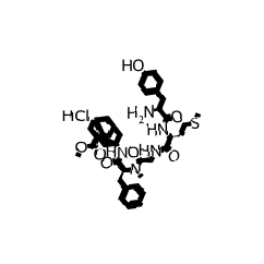 COC(=O)C12CC3CC(CC(NC(=O)[C@H](Cc4ccccc4)N(C)C(=O)CNC(=O)[C@@H](CCSC)NC(=O)[C@@H](N)Cc4ccc(O)cc4)(C3)C1)C2.Cl